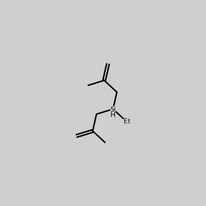 C=C(C)C[SiH](CC)CC(=C)C